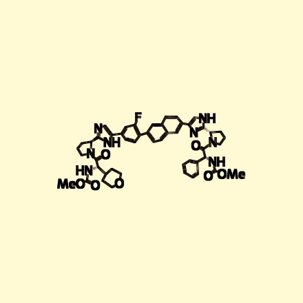 COC(=O)N[C@H](C(=O)N1CCC[C@H]1c1ncc(-c2ccc(-c3ccc4cc(-c5c[nH]c([C@@H]6CCCN6C(=O)[C@H](NC(=O)OC)c6ccccc6)n5)ccc4c3)c(F)c2)[nH]1)C1CCOCC1